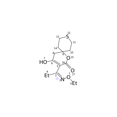 CCO/N=C(/CC)C1=C(O)CC2(CCSCC2)OC1=O